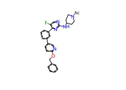 CC(=O)N1CCC(Nc2ncc(F)c(-c3cccc(-c4ccc(OCc5ccccc5)nc4)c3)n2)CC1